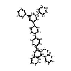 c1ccc(-c2cc(-c3ccc(-c4ccc(-c5nc6ccccc6c6c5ccc5ccccc56)cc4)cc3)cc(-c3ccccc3)n2)cc1